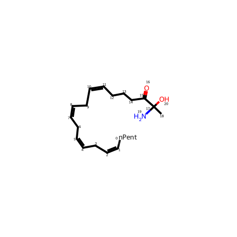 CCCCC/C=C\C/C=C\C/C=C\C/C=C\CCCC(=O)C(C)(N)O